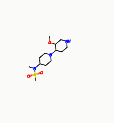 COC1CNCCC1N1CCC(N(C)S(C)(=O)=O)CC1